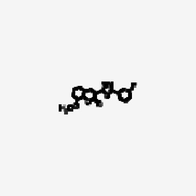 COc1cccc2cc(-c3nnc(-c4cccc(F)c4)o3)c(=O)oc12